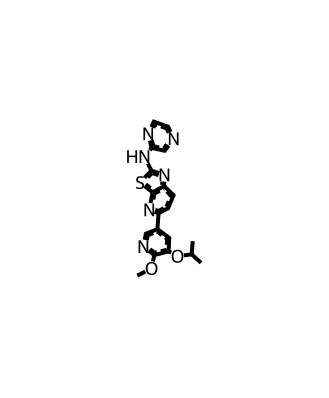 COc1ncc(-c2ccc3nc(Nc4cnccn4)sc3n2)cc1OC(C)C